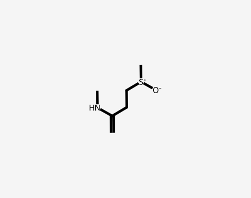 C=C(CC[S+](C)[O-])NC